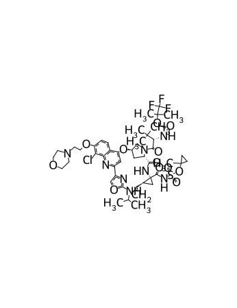 C=C[C@@H]1C[C@]1(NC(=O)[C@@H]1C[C@@H](Oc2cc(-c3coc(NC(C)C)n3)nc3c(Cl)c(OCCN4CCOCC4)ccc23)CN1C(=O)[C@@H](NC(=O)OC(C)(C)C(F)(F)F)C(C)(C)C)C(=O)NS(=O)(=O)OC1(C)CC1